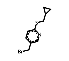 BrCc1ccc(SCC2CC2)nc1